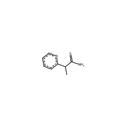 CC(C(N)=S)c1ccccn1